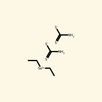 CC[Se+2]CC.NC(=S)[S-].NC(=S)[S-]